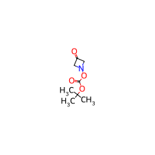 CC(C)(C)OC(=O)ON1CC(=O)C1